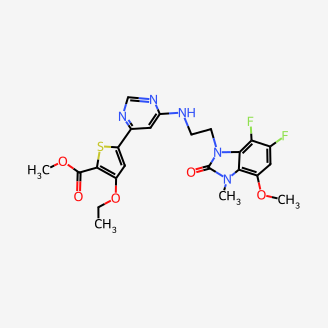 CCOc1cc(-c2cc(NCCn3c(=O)n(C)c4c(OC)cc(F)c(F)c43)ncn2)sc1C(=O)OC